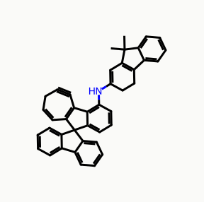 CC1(C)C2=C(CCC(Nc3cccc4c3C3=C(C=CCC#C3)C43c4ccccc4-c4ccccc43)=C2)c2ccccc21